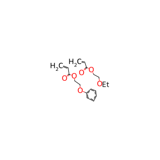 C=CC(=O)OCCOCC.C=CC(=O)OCCOc1ccccc1